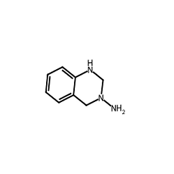 NN1CNc2ccccc2C1